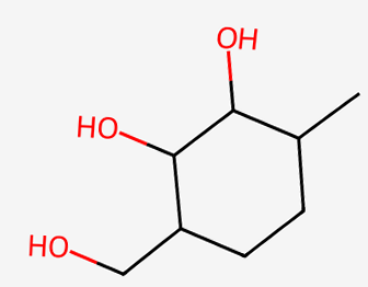 CC1CCC(CO)C(O)C1O